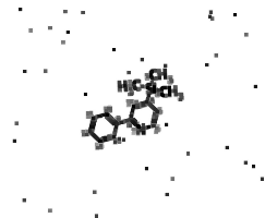 C[Si](C)(C)c1ccnc(-c2ccccc2)c1